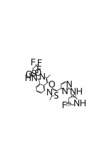 Cc1nc(Oc2c(C)nc(NS(=O)(=O)CC(F)(F)F)c3ccccc23)c(-c2ccnc(N[C@@H]3CNC[C@@H](F)C3)n2)s1